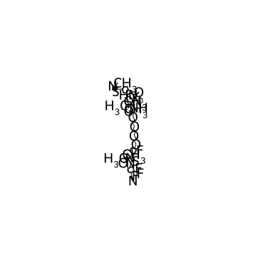 Cc1ncsc1-c1ccc(CNC(=O)[C@@H]2CCCN2C(=O)C(NC(=O)COCCOCCOCCOc2ccc(N3C(=S)N(c4ccc(C#N)c(C(F)(F)F)c4)C(=O)C3(C)C)cc2F)C(C)(C)C)cc1